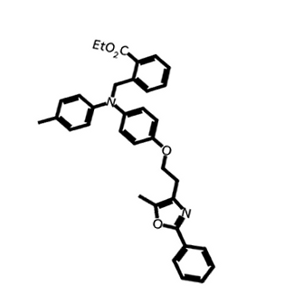 CCOC(=O)c1ccccc1CN(c1ccc(C)cc1)c1ccc(OCCc2nc(-c3ccccc3)oc2C)cc1